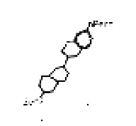 CCCCCc1ccc2c(c1)CCC(C1CCC3CC(OCC)CCC3C1)C2